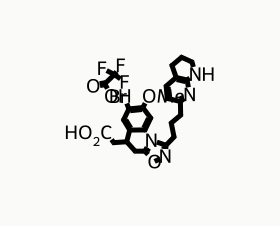 COc1ccc(C(CC(=O)O)Cc2nc(CCCc3ccc4c(n3)NCCC4)no2)cc1Br.O=C(O)C(F)(F)F